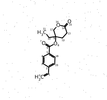 C=Cc1ccc(C(=O)OC2(CC)CCC(=O)OC2)cc1